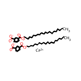 CCCCCCCCCCCCCCCCCCCCOC(=O)c1cccc(C(=O)[O-])c1.CCCCCCCCCCCCCCCCCCCCOC(=O)c1cccc(C(=O)[O-])c1.[Ca+2]